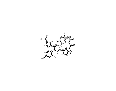 CC(CC(=O)CCI)NS(=O)(=O)N[C@H]1CC2=C(c3ccn(C(F)F)n3)[C@H](c3ccc(F)cc3Cl)N=C(c3nccs3)N2C1